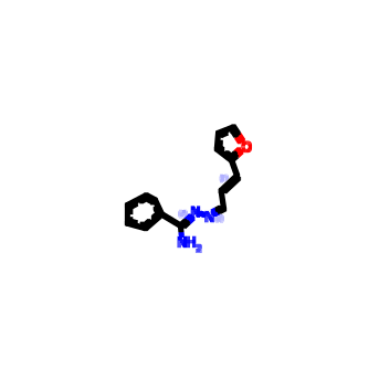 N\C(=N/N=C\C=C\c1ccco1)c1ccccc1